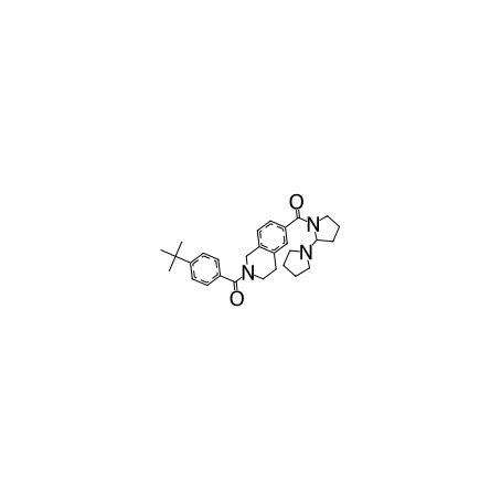 CC(C)(C)c1ccc(C(=O)N2CCc3cc(C(=O)N4CCCC4N4CCCC4)ccc3C2)cc1